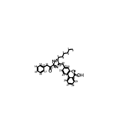 CCCCCCn1nc(C(=O)Cc2ccccc2)nc1Cc1ccc(-c2ccccc2C(=O)O)cc1